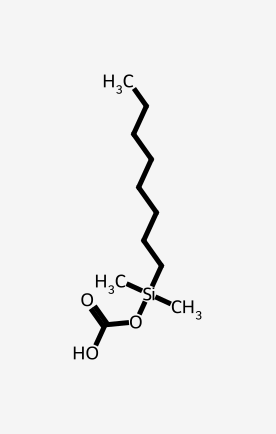 CCCCCCCC[Si](C)(C)OC(=O)O